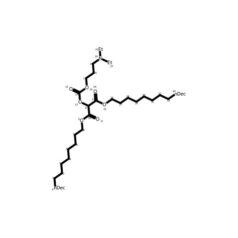 CCCCCCCCCCCCCCCCCCOC(=O)C(OC(=O)OCCCN(CC)CC)C(=O)OCCCCCCCCCCCCCCCCCC